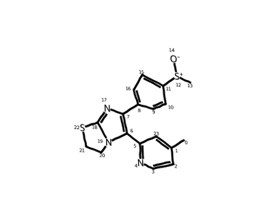 Cc1ccnc(-c2c(-c3ccc([S+](C)[O-])cc3)nc3n2CCS3)c1